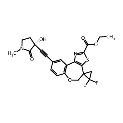 CCOC(=O)c1nc2c(s1)C1(COc3ccc(C#C[C@]4(O)CCN(C)C4=O)cc3-2)CC1(F)F